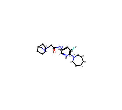 O=C(CN1CC2CCC1CC2)Nc1cnc(N2CCCCCC2)c(F)c1